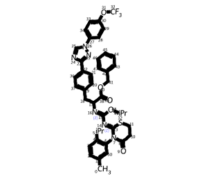 Cc1ccc(C(C)C)c(N2C(=O)CCS/C2=N\C(=N\C(Cc2ccc(-c3ncn(-c4ccc(OC(F)(F)F)cc4)n3)cc2)C(=O)OCc2ccccc2)OC(C)C)c1